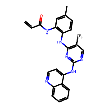 C=CC(=O)Nc1cc(C)ccc1Nc1nc(Nc2ccnc3ccccc23)ncc1C(F)(F)F